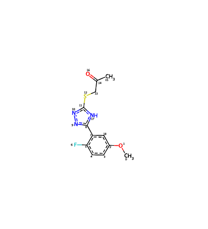 COc1ccc(F)c(-c2nnc(SCC(C)=O)[nH]2)c1